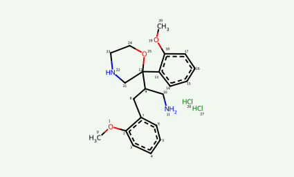 COc1ccccc1CC(CN)C1(c2ccccc2OC)CNCCO1.Cl.Cl